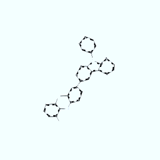 Clc1cccc2c1Nc1ccc(-c3ccc4c(c3)c3ccccc3n4-c3ccccc3)cc1S2